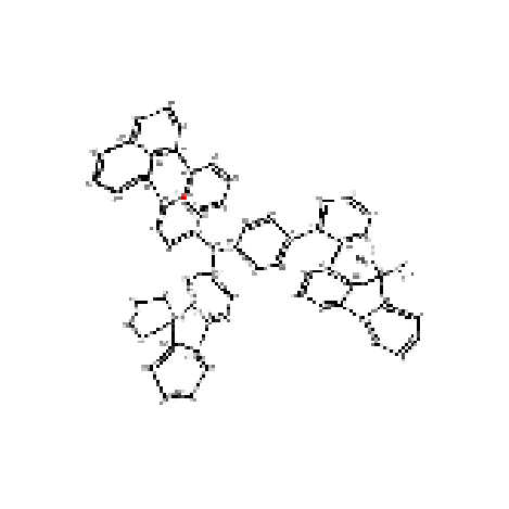 CC1(C)c2ccccc2-c2cccc(-c3ccccc3-c3ccc(N(c4ccc(-c5cccc6cccc(-c7ccccc7)c56)cc4)c4ccc5c(c4)C4(CCCC4)c4ccccc4-5)cc3)c21